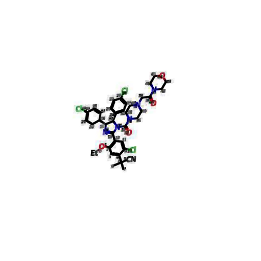 CCOc1cc(C(C)(C)C#N)c(Cl)cc1C1=N[C@@H](C2C=CC(Cl)=CC2)[C@@H](c2ccc(Cl)cc2)N1C(=O)N1CCN(CC(=O)N2CCOCC2)CC1